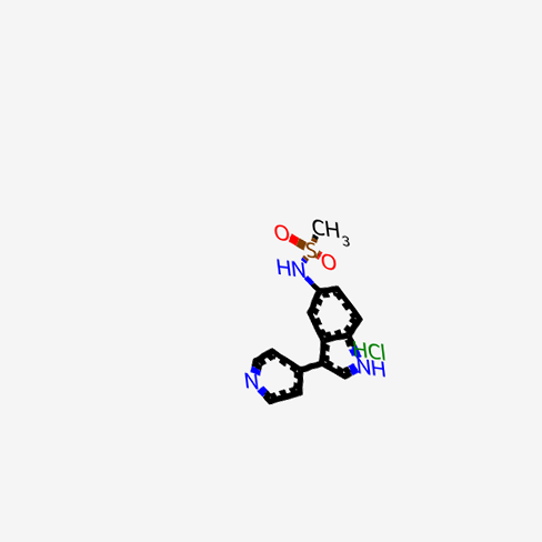 CS(=O)(=O)Nc1ccc2[nH]cc(-c3ccncc3)c2c1.Cl